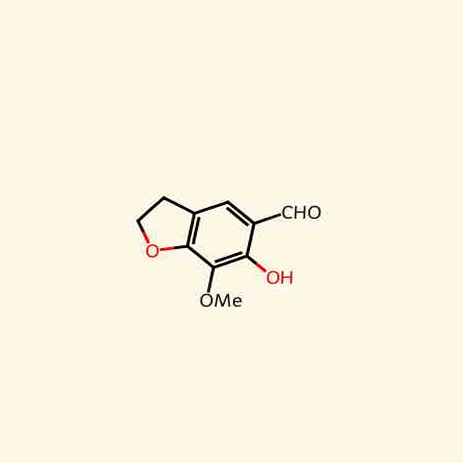 COc1c(O)c(C=O)cc2c1OCC2